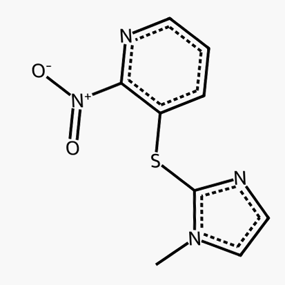 Cn1ccnc1Sc1cccnc1[N+](=O)[O-]